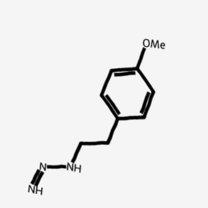 COc1ccc(CCNN=N)cc1